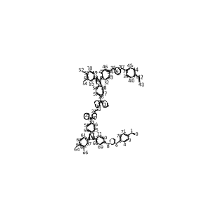 C=Cc1ccc(COCc2ccc(N(c3ccc(C(=O)OCCOC(=O)c4ccc(N(c5ccc(COCc6ccc(C=C)cc6)cc5)c5ccc(C)c(C)c5)cc4)cc3)c3ccc(C)c(C)c3)cc2)cc1